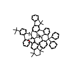 CC(C)(C)c1ccc(N2c3cc4c(c5c3B(c3c2sc2cc6c(cc32)C(C)(C)CCC6(C)C)N2c3ccccc3C(c3ccccc3)(c3ccccc3)c3cccc-5c32)C(C)(C)c2ccccc2-4)c(-c2ccccc2)c1